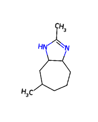 CC1=NC2CCCC(C)CC2N1